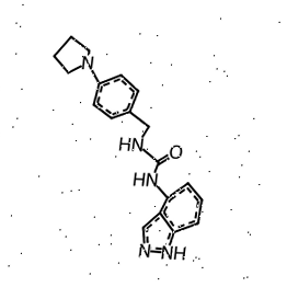 O=C(NCc1ccc(N2CCCC2)cc1)Nc1cccc2[nH]ncc12